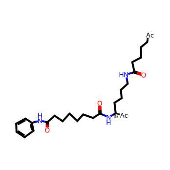 CC(=O)CCCCC(=O)NCCCC[C@H](NC(=O)CCCCCCC(=O)Nc1ccccc1)C(C)=O